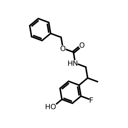 CC(CNC(=O)OCc1ccccc1)c1ccc(O)cc1F